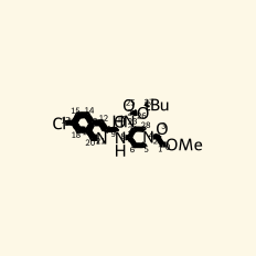 COCC(=O)N1CCC(NC(=O)c2cc3ccc(Cl)cc3cn2)C(NC(=O)OC(C)(C)C)C1